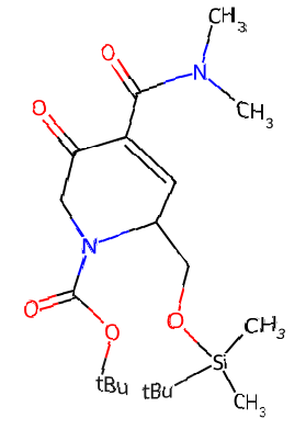 CN(C)C(=O)C1=CC(CO[Si](C)(C)C(C)(C)C)N(C(=O)OC(C)(C)C)CC1=O